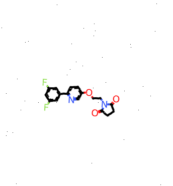 O=C1CCC(=O)N1CCOc1ccc(-c2cc(F)cc(F)c2)nc1